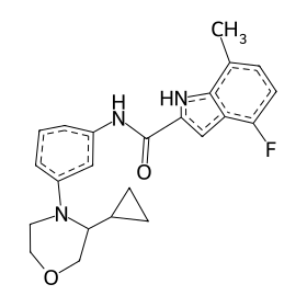 Cc1ccc(F)c2cc(C(=O)Nc3cccc(N4CCOCC4C4CC4)c3)[nH]c12